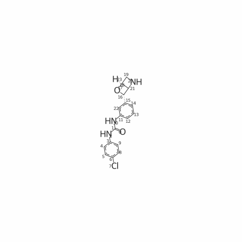 O=C(Nc1ccc(Cl)cc1)Nc1cccc([C@@H]2O[C@H]3CNC32)c1